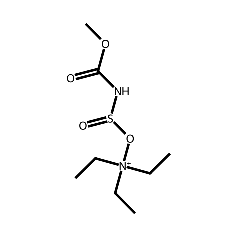 CC[N+](CC)(CC)OS(=O)NC(=O)OC